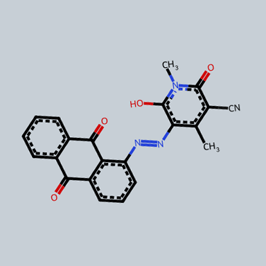 Cc1c(/N=N/c2cccc3c2C(=O)c2ccccc2C3=O)c(O)n(C)c(=O)c1C#N